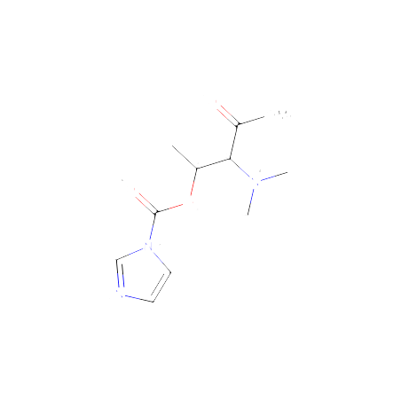 COC(=O)C(C(C)OC(=O)n1ccnc1)N(C)C